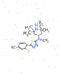 CN(c1nnc(C2C=CC(C#N)=CC2F)s1)C1CC(C)(C)NC(C)(C)C1